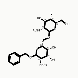 CC(=O)N[C@H]1C(OCc2ccccc2)O[C@H](COC2O[C@H](CO)[C@@H](F)[C@H](O)[C@H]2NC(C)=O)[C@H](O)[C@@H]1O